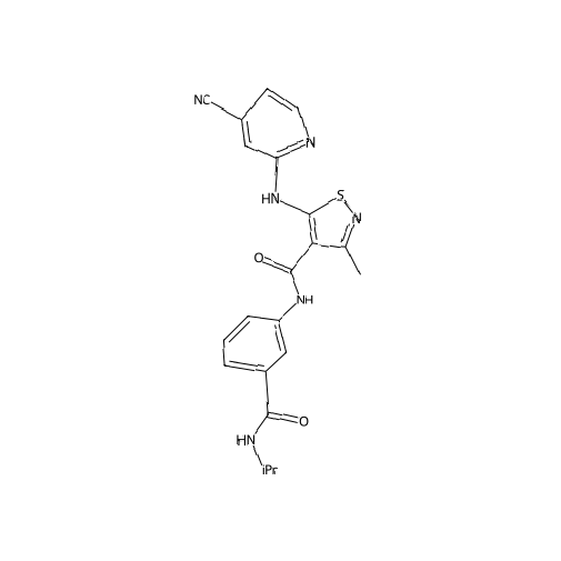 Cc1nsc(Nc2cc(C#N)ccn2)c1C(=O)Nc1cccc(C(=O)NC(C)C)c1